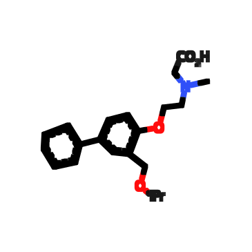 CC(C)OCc1cc(-c2ccccc2)ccc1OCCN(C)CC(=O)O